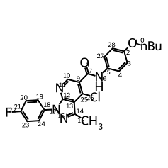 CCCCOc1ccc(NC(=O)c2cnc3c(c(C)nn3-c3ccc(F)cc3)c2Cl)cc1